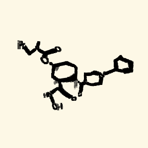 CC(C)CN(C)C(=O)O[C@@H]1CC[C@H](C(=O)N2CCN(c3ccccc3)CC2)[C@@H](C(=O)NO)C1